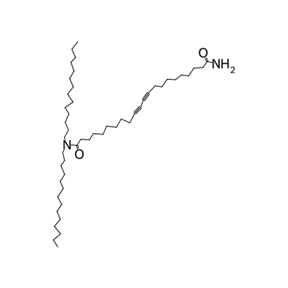 CCCCCCCCCCCCCCN(CCCCCCCCCCCCCC)C(=O)CCCCCCCCC#CC#CCCCCCCCCC(N)=O